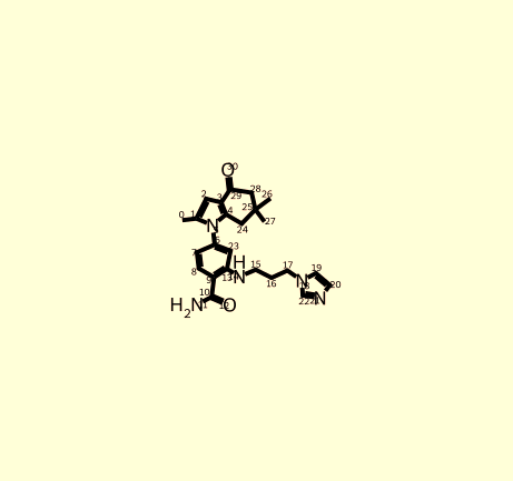 Cc1cc2c(n1-c1ccc(C(N)=O)c(NCCCn3ccnc3)c1)CC(C)(C)CC2=O